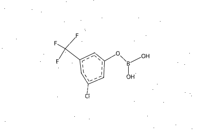 OB(O)Oc1cc(Cl)cc(C(F)(F)F)c1